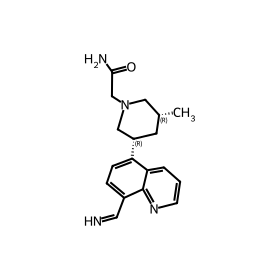 C[C@@H]1C[C@H](c2ccc(C=N)c3ncccc23)CN(CC(N)=O)C1